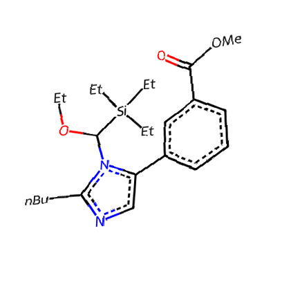 CCCCc1ncc(-c2cccc(C(=O)OC)c2)n1C(OCC)[Si](CC)(CC)CC